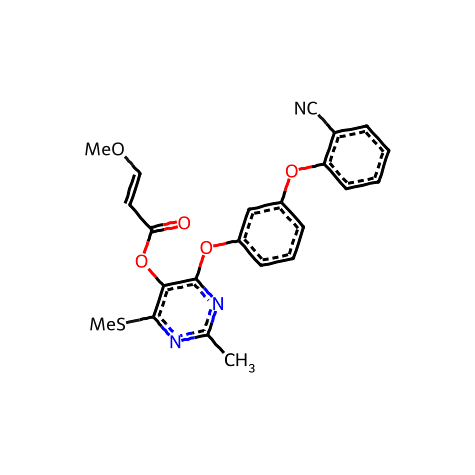 COC=CC(=O)Oc1c(Oc2cccc(Oc3ccccc3C#N)c2)nc(C)nc1SC